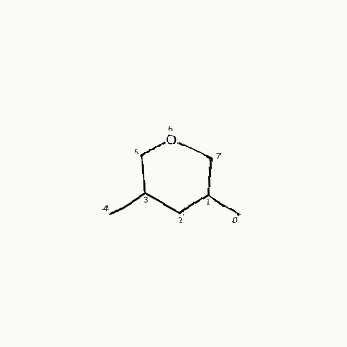 CC1[C]C(C)COC1